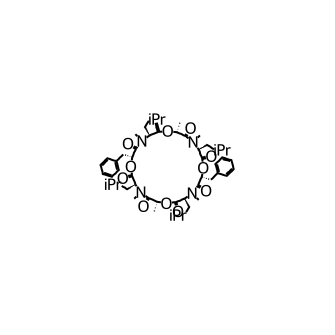 C=C1O[C@H](C)C(=O)N(C)[C@@H](CC(C)C)C(=O)O[C@H](Cc2ccccc2)C(=O)N(C)[C@@H](CC(C)C)C(=O)O[C@H](C)C(=O)N(C)[C@@H](CC(C)C)C(=O)O[C@H](Cc2ccccc2)C(=O)N(C)[C@H]1CC(C)C